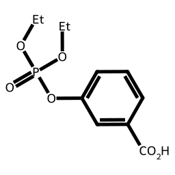 CCOP(=O)(OCC)Oc1cccc(C(=O)O)c1